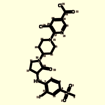 CS(=O)(=O)c1ccc(NC2CCN(C3CCN(c4ncc(C(=O)Cl)cc4Cl)CC3)C2=O)c(F)c1